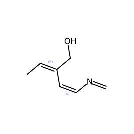 C=N/C=C\C(=C/C)CO